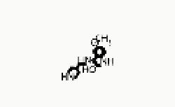 COc1ccc2c(c1)C(NCCC1CCNCC1)=C(O)CN2